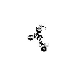 Nc1ncc(-c2nc(N3CCOCC3)nc3c2CCN3SOC(=O)Nc2ccccc2F)cn1